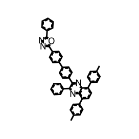 Cc1ccc(-c2ccc(-c3ccc(C)cc3)c3nc(-c4ccc(-c5ccc(-c6nnc(-c7ccccc7)o6)cc5)cc4)c(-c4ccccc4)nc23)cc1